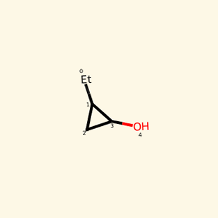 CCC1CC1O